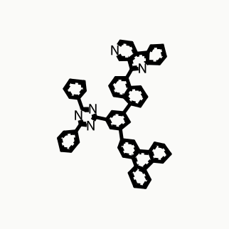 c1ccc(-c2nc(-c3ccccc3)nc(-c3cc(-c4ccc5c6ccccc6c6ccccc6c5c4)cc(-c4cccc5c(-c6nc7ccccc7c7ccncc67)cccc45)c3)n2)cc1